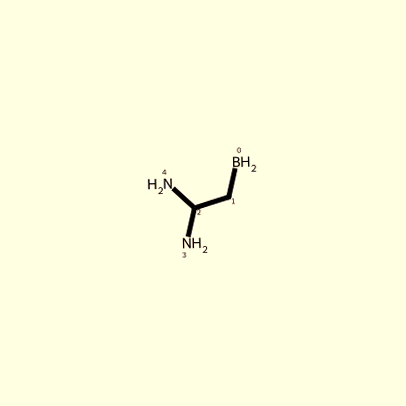 BCC(N)N